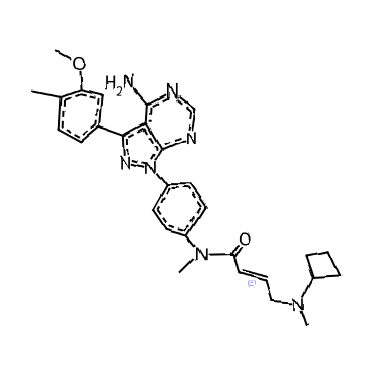 COc1cc(-c2nn(-c3ccc(N(C)C(=O)/C=C/CN(C)C4CCC4)cc3)c3ncnc(N)c23)ccc1C